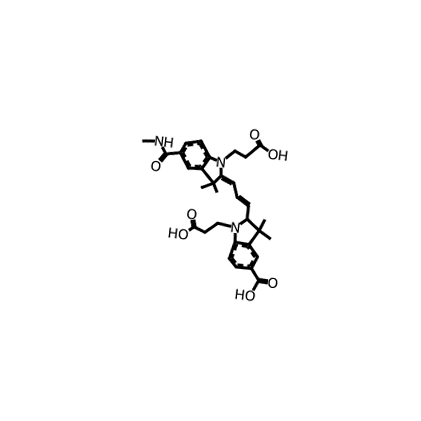 CNC(=O)c1ccc2c(c1)C(C)(C)/C(=C\C=C\C1N(CCC(=O)O)c3ccc(C(=O)O)cc3C1(C)C)N2CCC(=O)O